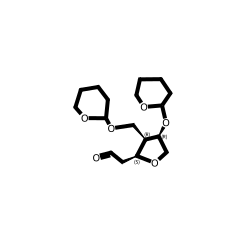 O=CC[C@@H]1OC[C@H](OC2CCCCO2)[C@@H]1COC1CCCCO1